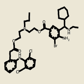 CCCN(CCOC(=O)Cc1ccccc1Nc1c(Cl)cccc1Cl)CCOC(=O)c1cc(Br)c(N)c(C(NCC)C2CCCCC2)c1